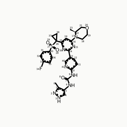 Cc1n[nH]cc1NC(=O)Nc1ccc(-c2nc(N3CCOC[C@@H]3C)cc(C3(S(=O)(=O)c4ccc(F)cc4)CC3)n2)cn1